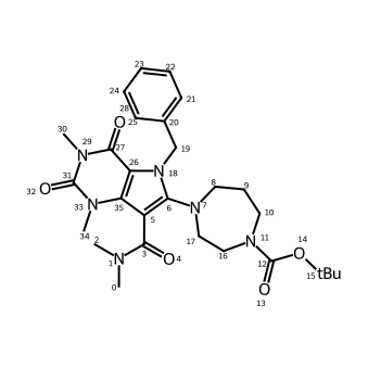 CN(C)C(=O)c1c(N2CCCN(C(=O)OC(C)(C)C)CC2)n(Cc2ccccc2)c2c(=O)n(C)c(=O)n(C)c12